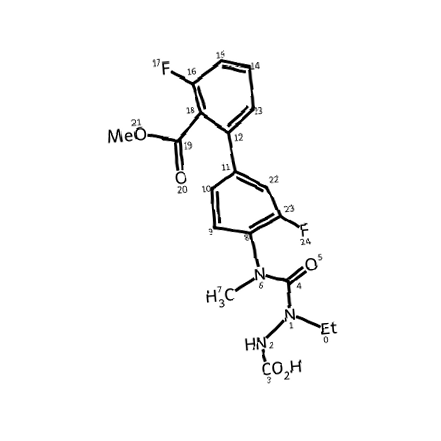 CCN(NC(=O)O)C(=O)N(C)c1ccc(-c2cccc(F)c2C(=O)OC)cc1F